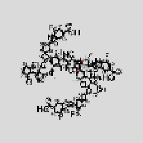 C[C@@H]1CC2(CC(OCc3c(-c4c(Cl)ccc(C5CC5c5onc(-c6c(Cl)cccc6Cl)c5COC5CC6(CCN(c7nc8c(F)cc(C(=O)O)cc8s7)C6)C5)c4Cl)noc3C3CC3c3ccc(Cl)c(-c4noc(C5CC5)c4COC4CC5(C4)C[C@@H](CF)N(c4nc6c(F)cc(C(=O)O)cc6s4)C5)c3Cl)C2)CN1c1nc2c(F)cc(C(=O)O)cc2s1